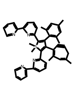 CC1=CC(C)=C(C2=C(c3cccc(-c4ccccn4)n3)S(C)(C)C(c3cccc(-c4ccccn4)n3)=C2c2c(C)cc(C)cc2C)C#CC1